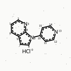 Cl.c1cnc2c(c1)ccn2-c1ccncc1